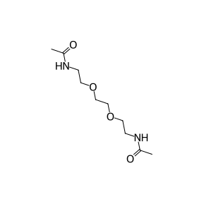 CC(=O)NCCOCCOCCNC(C)=O